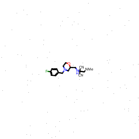 CNCC(C#N)(C#N)NCC1CN(Cc2ccc(F)cc2)CCO1